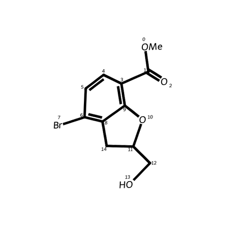 COC(=O)c1ccc(Br)c2c1OC(CO)C2